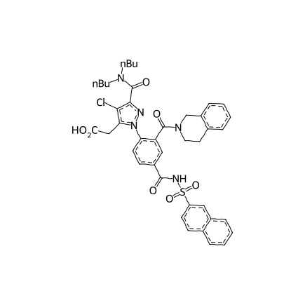 CCCCN(CCCC)C(=O)c1nn(-c2ccc(C(=O)NS(=O)(=O)c3ccc4ccccc4c3)cc2C(=O)N2CCc3ccccc3C2)c(CC(=O)O)c1Cl